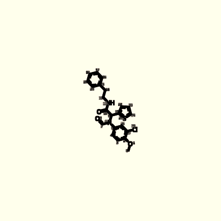 COc1ccc(N(C=O)C(C(=O)NCCc2ccccc2)c2cccs2)cc1Cl